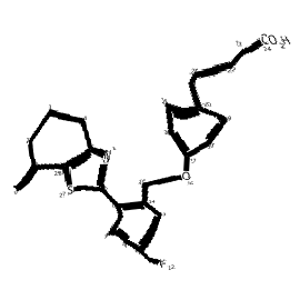 C=C1CCCc2nc(-c3ccc(F)cc3COc3ccc(CCCC(=O)O)cc3)sc21